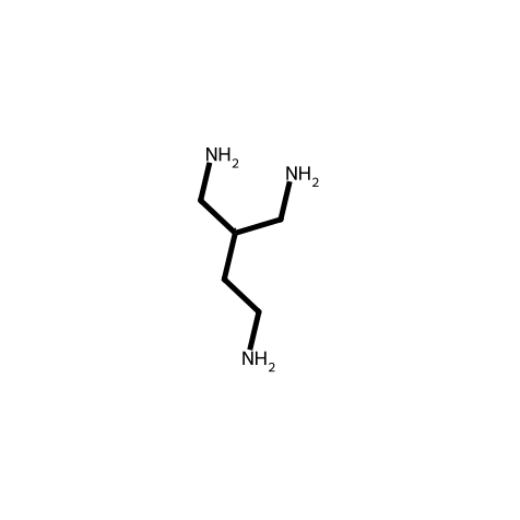 NCC[C](CN)CN